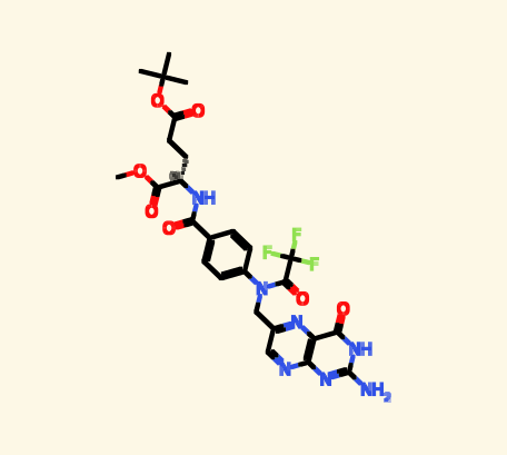 COC(=O)[C@H](CCC(=O)OC(C)(C)C)NC(=O)c1ccc(N(Cc2cnc3nc(N)[nH]c(=O)c3n2)C(=O)C(F)(F)F)cc1